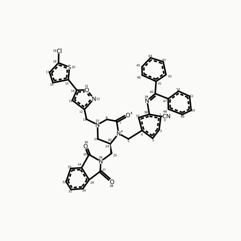 N#Cc1ccc(CN2C(=O)CN(Cc3cc(-c4ccc(Cl)s4)on3)C[C@@H]2CN2C(=O)c3ccccc3C2=O)cc1N=C(c1ccccc1)c1ccccc1